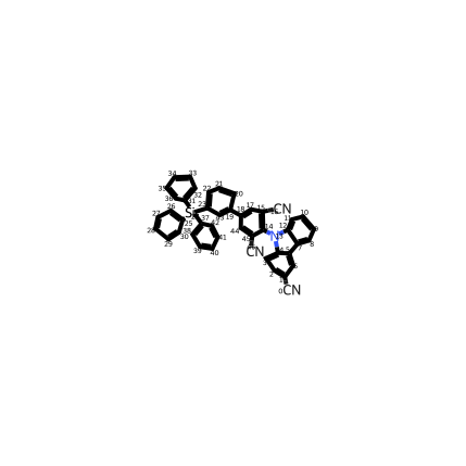 N#Cc1ccc2c(c1)c1ccccc1n2-c1c(C#N)cc(-c2cccc([Si](c3ccccc3)(c3ccccc3)c3ccccc3)c2)cc1C#N